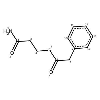 NC(=O)CCSC(=O)Cc1ccccc1